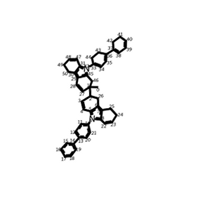 CC1(C2C=Cc3c(c4c(n3-c3ccc(-c5ccccc5)cc3)C=CCC4)C2)C=Cc2c3c(n(C4=CC=C(C5=CC=CCC5)CC4)c2C1)C=CCC3